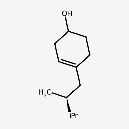 CC(C)[C@@H](C)CC1=CCC(O)CC1